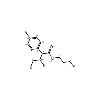 CCCCOC(=O)C(c1ccc(C)cc1)C(C)CC